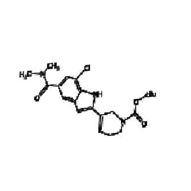 CN(C)C(=O)c1cc(Cl)c2[nH]c(C3=CCCN(C(=O)OC(C)(C)C)C3)cc2c1